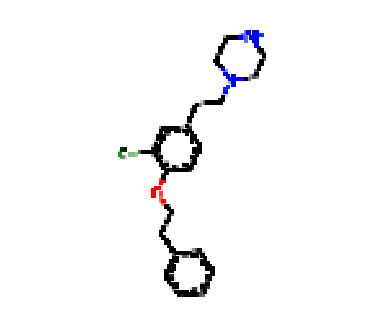 Clc1cc(CCN2CCNCC2)ccc1OCCc1ccccc1